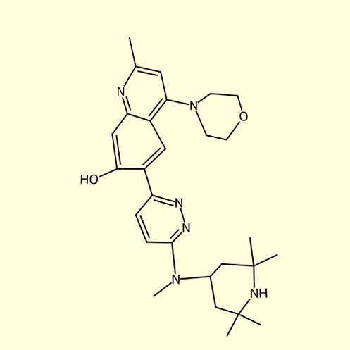 Cc1cc(N2CCOCC2)c2cc(-c3ccc(N(C)C4CC(C)(C)NC(C)(C)C4)nn3)c(O)cc2n1